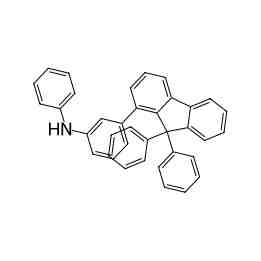 c1ccc(Nc2cccc(-c3cccc4c3C(c3ccccc3)(c3ccccc3)c3ccccc3-4)c2)cc1